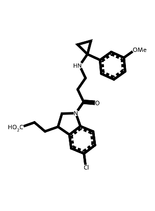 COc1cccc(C2(NCCC(=O)N3CC(CCC(=O)O)c4cc(Cl)ccc43)CC2)c1